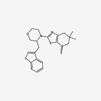 CC1(C)CC(=S)c2sc(N3CCOCC3Cc3csc4ccccc34)nc2C1